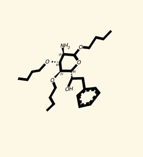 CCCCOC1O[C@H](C(O)Cc2ccccc2)[C@@H](OCCCC)[C@H](OCCCC)[C@H]1N